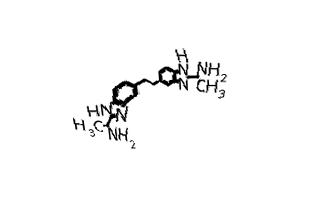 C[C@H](N)c1nc2cc(CCc3ccc4[nH]c([C@H](C)N)nc4c3)ccc2[nH]1